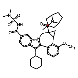 CN1CC2CCC(C1)N2C(=O)C12CC1c1c(OC(F)(F)F)cccc1-c1c(C3CCCCC3)c3ccc(C(=O)NS(=O)(=O)N(C)C)cc3n1C2